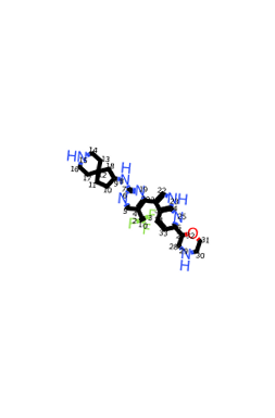 FC(F)(F)c1cnc(NC2CCC3(CCNCC3)C2)nc1-c1c[nH]c2nc(C3CNCCO3)ccc12